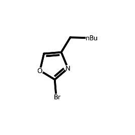 CCCCCc1coc(Br)n1